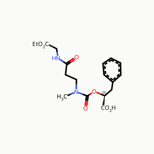 CCOC(=O)CNC(=O)CCN(C)C(=O)O[C@@H](Cc1ccccc1)C(=O)O